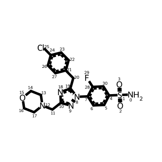 NS(=O)(=O)c1ccc(-n2nc(CN3CCOCC3)nc2Cc2ccc(Cl)cc2)c(F)c1